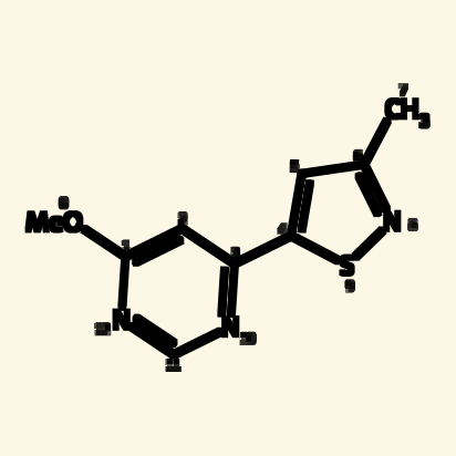 COc1cc(-c2cc(C)ns2)ncn1